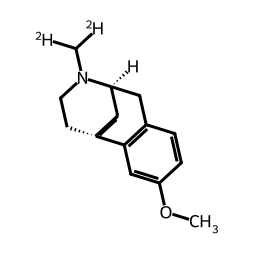 [2H]C([2H])N1CC[C@@]23CCCCC2[C@@H]1Cc1ccc(OC)cc13